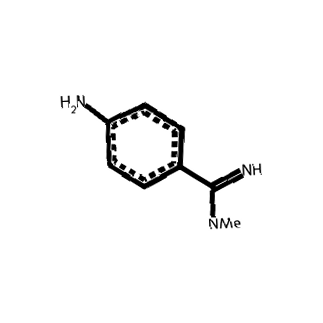 CNC(=N)c1ccc(N)cc1